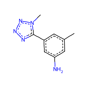 Cc1cc(N)cc(-c2nnnn2C)c1